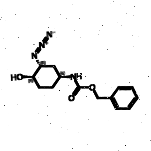 [N-]=[N+]=N[C@@H]1C[C@@H](NC(=O)OCc2ccccc2)CC[C@H]1O